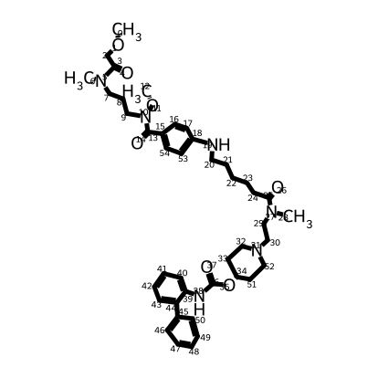 COCC(=O)N(C)CCCN(OC)C(=O)c1ccc(NCCCCCC(=O)N(C)CCN2CCC(OC(=O)Nc3ccccc3-c3ccccc3)CC2)cc1